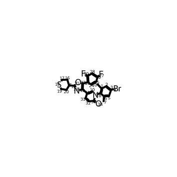 Cc1cc(Br)cc(C)c1-n1cc(-c2nc(C3CCSCC3)oc2-c2ccc(F)cc2F)ccc1=O